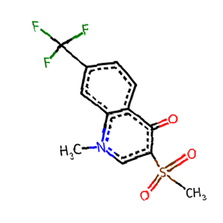 Cn1cc(S(C)(=O)=O)c(=O)c2ccc(C(F)(F)F)cc21